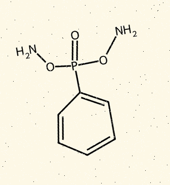 NOP(=O)(ON)c1ccccc1